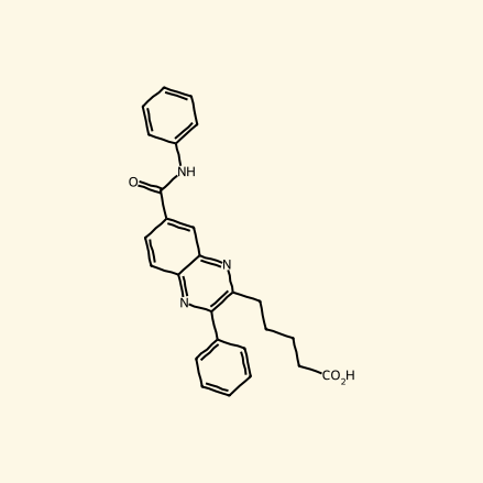 O=C(O)CCCCc1nc2cc(C(=O)Nc3ccccc3)ccc2nc1-c1ccccc1